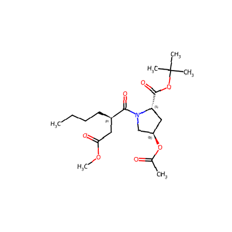 CCCC[C@H](CC(=O)OC)C(=O)N1C[C@H](OC(C)=O)C[C@H]1C(=O)OC(C)(C)C